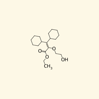 CCOC(=O)C(OCCO)=C(C1CCCCC1)C1CCCCC1